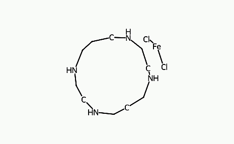 C1CNCCNCCCNCCNC1.[Cl][Fe][Cl]